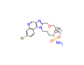 CCOCc1nc2cnc3cc(Br)ccc3c2n1CCCC(C)S(N)(=O)=O